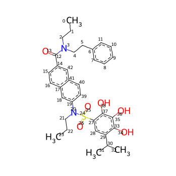 CCCN(CCc1ccccc1)C(=O)c1ccc2cc(N(CCC)S(=O)(=O)c3cc(C(C)C)c(O)c(O)c3O)ccc2c1